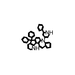 C1=CC2=C(NC1)c1c(ccc3c1C=Cc1ccccc1N3C1=CCNC(c3ccccc3)=C1)C2(c1ccccc1)c1ccccc1